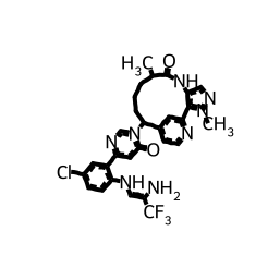 CC1CCCC(n2cnc(-c3cc(Cl)ccc3N/C=C(\N)C(F)(F)F)cc2=O)c2ccnc(c2)-c2c(cnn2C)NC1=O